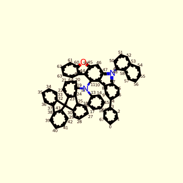 c1ccc(-c2ccc3c(c2)c2c(N(c4ccccc4)c4cccc5c4-c4ccccc4C54c5ccccc5-c5ccccc54)c4c(cc2n3-c2cccc3ccccc23)oc2ccccc24)cc1